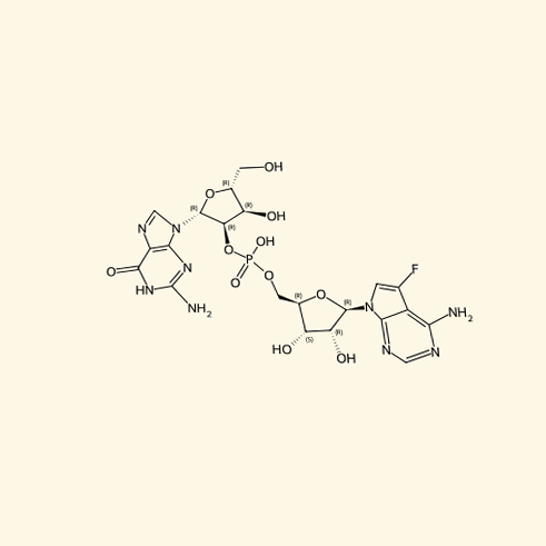 Nc1nc2c(ncn2[C@@H]2O[C@H](CO)[C@@H](O)[C@H]2OP(=O)(O)OC[C@H]2O[C@@H](n3cc(F)c4c(N)ncnc43)[C@H](O)[C@@H]2O)c(=O)[nH]1